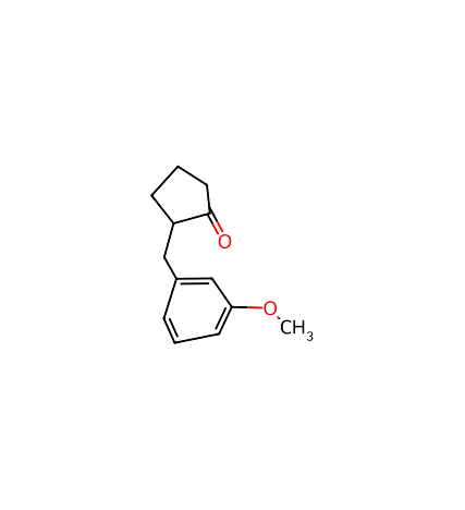 COc1cccc(CC2CCCC2=O)c1